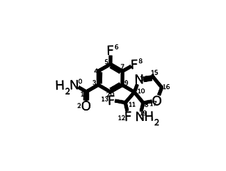 NC(=O)c1cc(F)c(F)c(C2(C(F)F)N=CCOC2N)c1